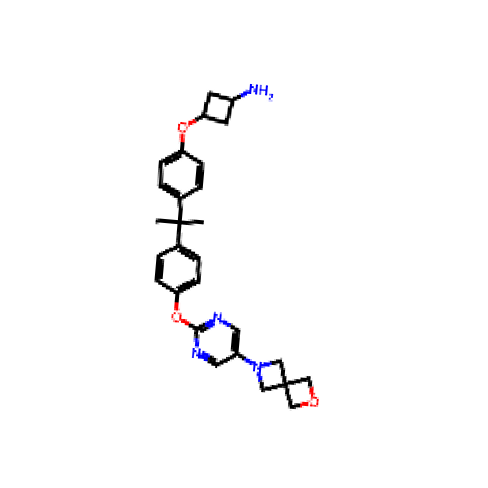 CC(C)(c1ccc(Oc2ncc(N3CC4(COC4)C3)cn2)cc1)c1ccc(OC2CC(N)C2)cc1